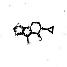 O=C1c2c(Br)c3ncsc3n2CCN1C1CC1